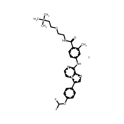 Cc1cc(Nc2nccn3c(-c4ccc(OC(F)F)cc4)cnc23)ccc1C(=O)NCCOCC[N+](C)(C)C.[I-]